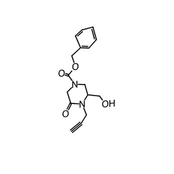 C#CCN1C(=O)CN(C(=O)OCc2ccccc2)CC1CO